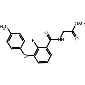 COC(=O)CNC(=O)c1cccc(Oc2ccc(C)cc2)c1F